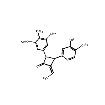 CC=C1C(=O)N(c2cc(OC)c(OC)c(OC)c2)C1c1ccc(OC)c(O)c1